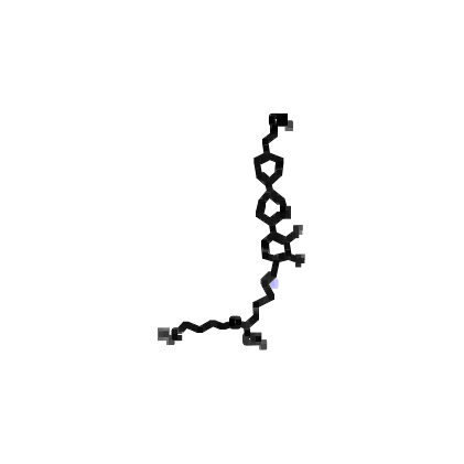 C=CCc1ccc(-c2ccc(-c3ccc(/C=C/CCCC(C)OCCCCC)c(F)c3F)nc2)cc1